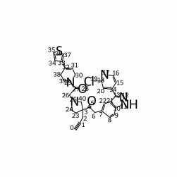 C#CCC1(C(=O)Cc2ccc3[nH]nc(-c4ccnc(Cl)c4)c3c2)CCN(CC(=O)N2CC=C(c3ccsc3)CC2)C1